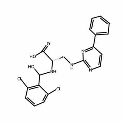 O=C(O)[C@H](CNc1nccc(-c2ccccc2)n1)NC(O)c1c(Cl)cccc1Cl